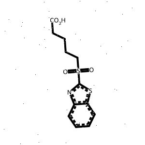 O=C(O)CCCCS(=O)(=O)c1nc2ccccc2s1